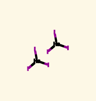 [I][Ho]([I])[I].[I][Ho]([I])[I]